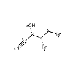 N#C[C@H](O)[C@@H](Br)CBr